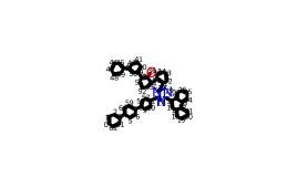 c1ccc(-c2ccc(-c3ccc(-c4nc(-c5cc6ccccc6c6ccccc56)nc(-c5cccc6oc7c(-c8cccc(-c9ccccc9)c8)cccc7c56)n4)cc3)cc2)cc1